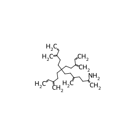 C=CC(=C)CCC(CCC(=C)C=C)(CCC(=C)C=C)CCC(=C)CCC(=C)N